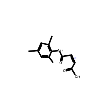 Cc1cc(C)c(NC(=O)/C=C\C(=O)O)c(C)c1